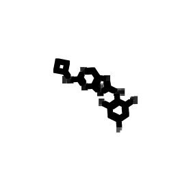 Fc1cc(F)c(Nc2nc3cnc(NC4CCC4)nc3[nH]2)c(Cl)c1